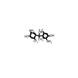 CC(C)(c1cc(N)c(O)cc1C(F)(F)F)c1cc(N)c(O)cc1C(F)(F)F